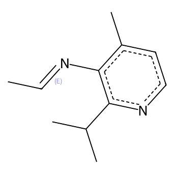 C/C=N/c1c(C)ccnc1C(C)C